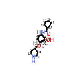 O=C(Nc1ccc(OCC2CCNCC2)cc1)C1CCCCC1.O=C(O)O